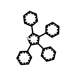 c1ccc(-c2sc(-c3ccccc3)c(-c3ccccc3)c2-c2ccccc2)cc1